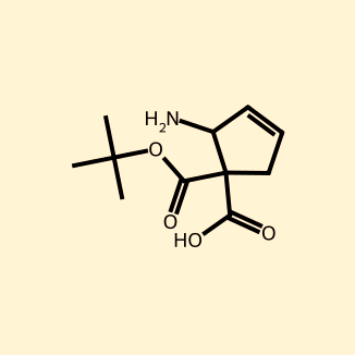 CC(C)(C)OC(=O)C1(C(=O)O)CC=CC1N